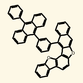 c1ccc(-c2c3ccccc3c(-c3cccc(-c4c5ccccc5cc5oc6ccc7c8ccccc8oc7c6c45)c3)c3ccccc23)cc1